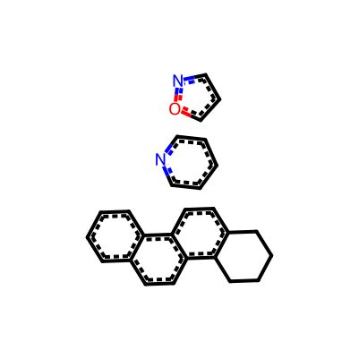 c1ccc2c(c1)ccc1c3c(ccc12)CCCC3.c1ccncc1.c1cnoc1